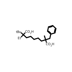 CCC(CCCCCC(C)(Cc1ccccc1)C(=O)O)(C(=O)O)C(C)(C)C